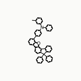 Cc1cccc(N(c2ccccc2)c2ccc(-c3cccc4c3oc3c5c(ccc34)C(c3ccccc3)(c3ccccc3)c3ccccc3-5)cc2)c1